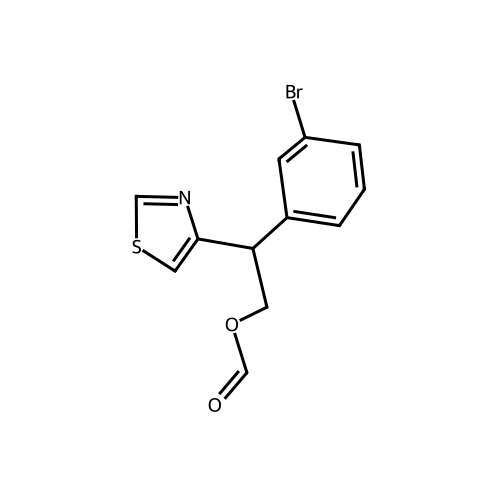 O=COCC(c1cccc(Br)c1)c1cscn1